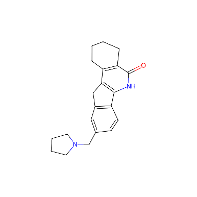 O=c1[nH]c2c(c3c1CCCC3)Cc1cc(CN3CCCC3)ccc1-2